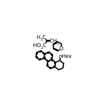 C1=CCOC=C1.C=C(C)C(=O)O.CCCCCCC1CCCc2ccc3c(ccc4ccccc43)c21